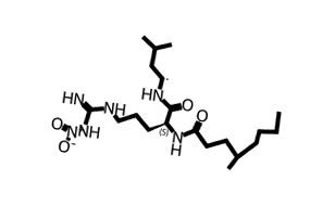 CCCCC(C)CCC(=O)N[C@@H](CCCNC(=N)N[N+](=O)[O-])C(=O)N[CH]CC(C)C